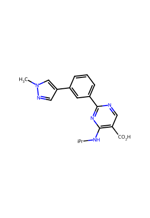 CC(C)Nc1nc(-c2cccc(-c3cnn(C)c3)c2)ncc1C(=O)O